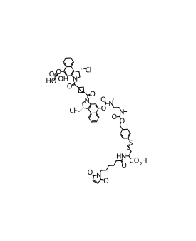 CN(CCN(C)C(=O)Oc1cc2c(c3ccccc13)[C@H](CCl)CN2C(=O)C12CC(C(=O)N3C[C@@H](CCl)c4c3cc(OP(=O)(O)O)c3ccccc43)(C1)C2)C(=O)OCc1ccc(SSCC(NC(=O)CCCCCN2C(=O)C=CC2=O)C(=O)O)cc1